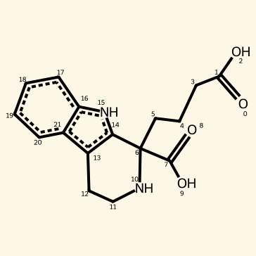 O=C(O)CCCC1(C(=O)O)NCCc2c1[nH]c1ccccc21